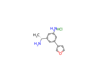 C[C@@H](N)c1cc(N)cc(-c2ccoc2)c1.Cl